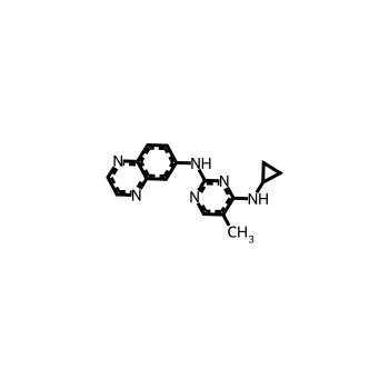 Cc1cnc(Nc2ccc3nccnc3c2)nc1NC1CC1